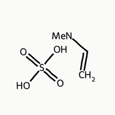 C=CNC.O=S(=O)(O)O